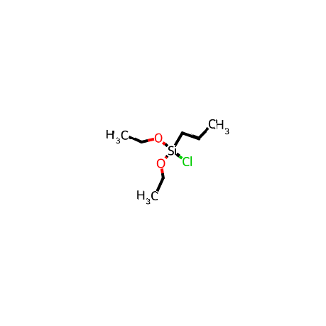 CCC[Si](Cl)(OCC)OCC